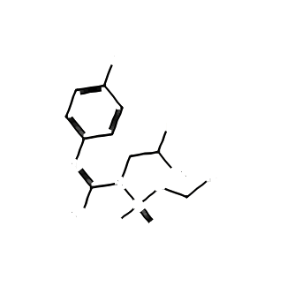 CCC(C#N)CN(C(C#N)=Nc1ccc(C(C)=O)cc1)P(=O)(O)SCC(C)C